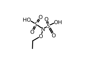 CCON(S(=O)(=O)O)S(=O)(=O)O